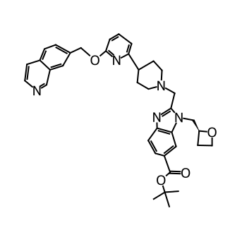 CC(C)(C)OC(=O)c1ccc2nc(CN3CCC(c4cccc(OCc5ccc6ccncc6c5)n4)CC3)n(C[C@@H]3CCO3)c2c1